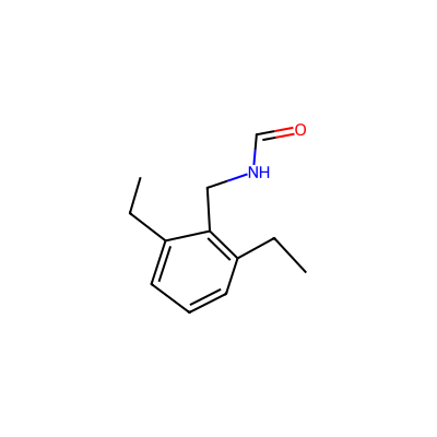 CCc1cccc(CC)c1CNC=O